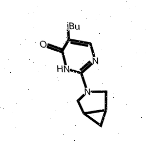 CCC(C)c1cnc(N2CC3CC3C2)[nH]c1=O